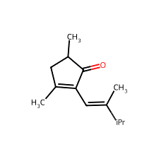 CC1=C(/C=C(\C)C(C)C)C(=O)C(C)C1